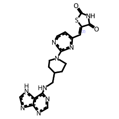 O=C1NC(=O)/C(=C/c2ccnc(N3CCC(CNc4ncnc5nc[nH]c45)CC3)n2)S1